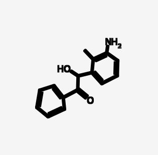 Cc1c(N)cccc1C(O)C(=O)c1ccccc1